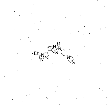 CCc1cnc2ncc(-c3ccn4nc(N[C@H]5CC[C@H](N6CCN(C)CC6)CC5)ncc34)cn12